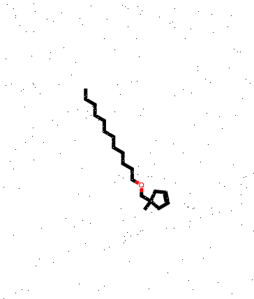 CCCCCCCCCCCCOCC1(C)CC=CC1